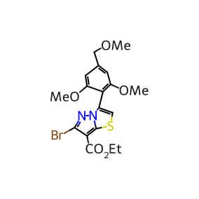 CCOC(=O)c1c(Br)nn2c(-c3c(OC)cc(COC)cc3OC)csc12